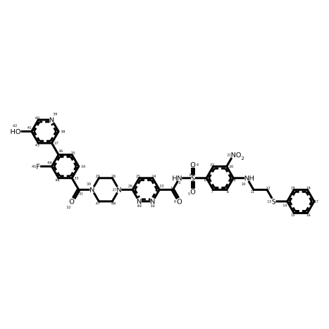 O=C(NS(=O)(=O)c1ccc(NCCSc2ccccc2)c([N+](=O)[O-])c1)c1ccc(N2CCN(C(=O)c3ccc(-c4cncc(O)c4)c(F)c3)CC2)nn1